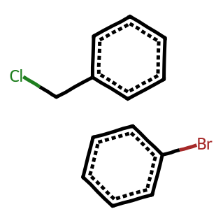 Brc1ccccc1.ClCc1ccccc1